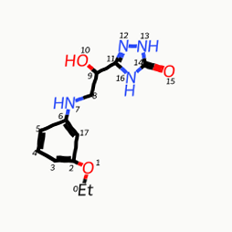 CCOc1cccc(NCC(O)c2n[nH]c(=O)[nH]2)c1